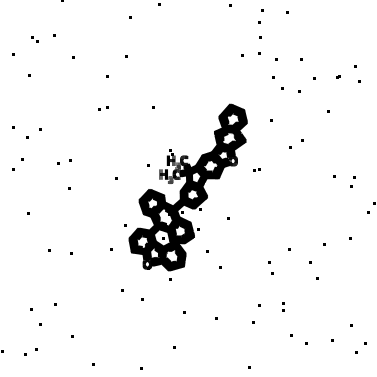 CC1(C)c2cc(-c3c4ccccc4c(-c4cccc5oc6ccccc6c45)c4ccccc34)ccc2-c2cc3oc4cc5ccccc5cc4c3cc21